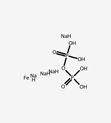 O=P(O)(O)OP(=O)(O)O.[Fe].[NaH].[NaH].[NaH].[NaH]